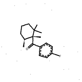 C[C@H]1CCCC(C)(C)[C@]1(C)C(=O)c1ccc(F)cc1